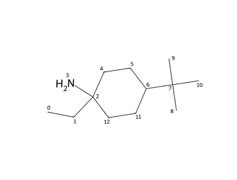 CCC1(N)CCC(C(C)(C)C)CC1